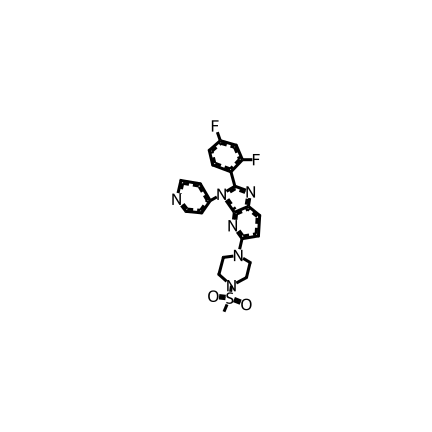 CS(=O)(=O)N1CCN(c2ccc3nc(-c4ccc(F)cc4F)n(-c4ccncc4)c3n2)CC1